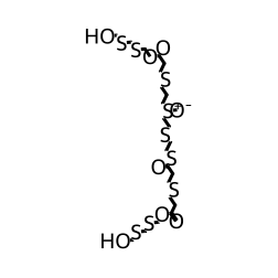 O=C(CCSCCC[S+]([O-])CCSCCSC(=O)CCSCCC(=O)OCSCSCO)OCSCSCO